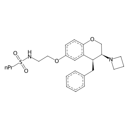 CCCS(=O)(=O)NCCOc1ccc2c(c1)[C@H](Cc1ccccc1)[C@H](N1CCC1)CO2